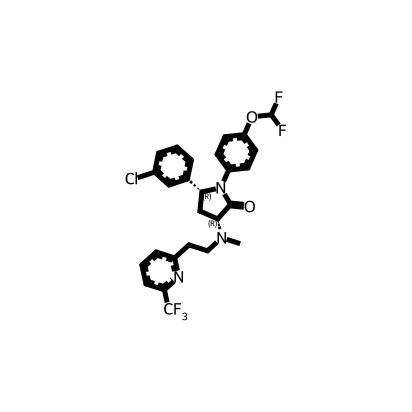 CN(CCc1cccc(C(F)(F)F)n1)[C@@H]1C[C@H](c2cccc(Cl)c2)N(c2ccc(OC(F)F)cc2)C1=O